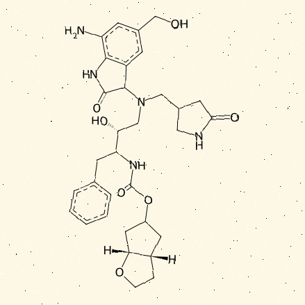 Nc1cc(CO)cc2c1NC(=O)C2N(CC1CNC(=O)C1)C[C@@H](O)C(Cc1ccccc1)NC(=O)OC1C[C@@H]2CCO[C@@H]2C1